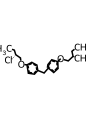 CC[C@@H](C)COc1ccc(Cc2ccc(OC[C@H](Cl)CC)cc2)cc1